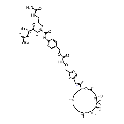 CCCCC(=O)N[C@H](C(=O)N[C@@H](CCCNC(N)=O)C(=O)Nc1ccc(COC(=O)NOCc2ncc(/C=C(\C)C3CC[C@@H](C)CCC[C@H](C)C[C@@H](C)C(=O)C(C)(C)[C@@H](O)CC(=O)O3)s2)cc1)C(C)C